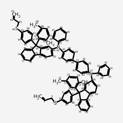 C=CCSc1ccc(C2(c3cc(C)ccc3C)c3ccccc3-c3ccc(N(c4ccccc4)c4ccc(-c5ccc(N(c6ccccc6)c6ccc7c(c6)C(c6ccc(SCC=C)cc6)(c6cc(C)ccc6C)c6ccccc6-7)cc5)cc4)cc32)cc1